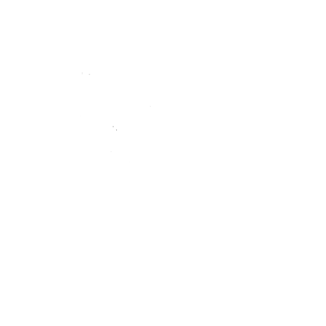 CC(C)(C)OC(=O)N1C(=O)C(=CCCc2ccccc2)C[C@H]1C(=O)OCc1ccccc1